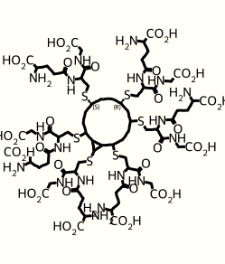 NC(CCC(=O)NC(CSC1CCC(SCC(NC(=O)CCC(N)C(=O)O)C(=O)NCC(=O)O)C2C(SCC(NC(=O)CCC(N)C(=O)O)C(=O)NCC(=O)O)C2C(SCC(NC(=O)CCC(N)C(=O)O)C(=O)NCC(=O)O)CC[C@@H](SCC(NC(=O)CCC(N)C(=O)O)C(=O)NCC(=O)O)CC[C@@H](SCC(NC(=O)CCC(N)C(=O)O)C(=O)NCC(=O)O)C1)C(=O)NCC(=O)O)C(=O)O